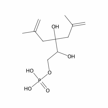 C=C(C)CC(O)(CC(=C)C)C(O)COP(=O)(O)O